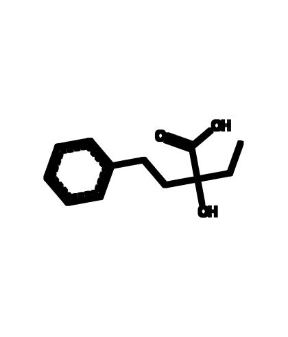 CCC(O)(CCc1ccccc1)C(=O)O